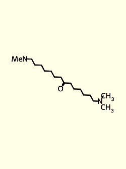 CNCCCCCCCC(=O)CCCCCCN(C)C